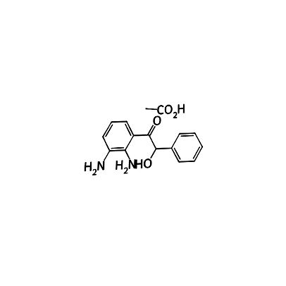 CC(=O)O.Nc1cccc(C(=O)C(O)c2ccccc2)c1N